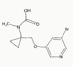 CN(C(=O)O)C1(COc2cncc(Br)c2)CC1